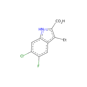 CCc1c(C(=O)O)[nH]c2cc(Cl)c(F)cc12